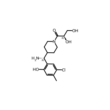 Cc1cc(O)c([C@H](N)C2CCN(C(=O)[C@H](O)CO)CC2)cc1Cl